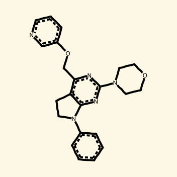 c1ccc(N2CCc3c(COc4cccnc4)nc(N4CCOCC4)nc32)cc1